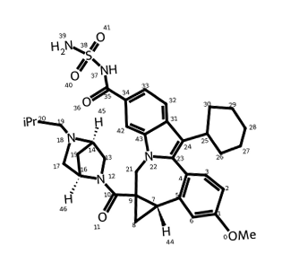 COc1ccc2c(c1)[C@@H]1CC1(C(=O)N1C[C@H]3C[C@@H]1CN3CC(C)C)Cn1c-2c(C2CCCCC2)c2ccc(C(=O)NS(N)(=O)=O)cc21